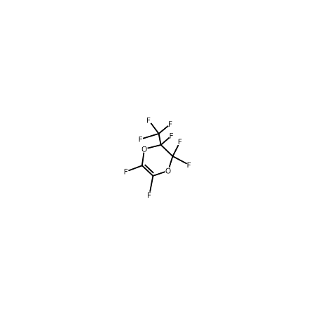 FC1=C(F)OC(F)(C(F)(F)F)C(F)(F)O1